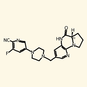 N#Cc1ncc(N2CCN(Cc3cnc4c(c3)NC(=O)[C@@H]3CCCN43)CC2)cc1F